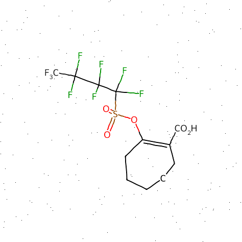 O=C(O)C1=C(OS(=O)(=O)C(F)(F)C(F)(F)C(F)(F)C(F)(F)F)CCCCC1